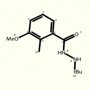 COc1cccc(C(=O)NNC(C)(C)C)c1C